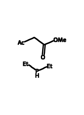 CCPCC.COC(=O)CC(C)=O